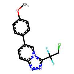 FC(F)(F)Oc1ccc(-c2ccc3nnc(C(F)(F)CCl)n3c2)cc1